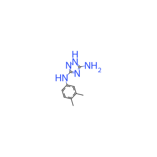 Cc1ccc(Nc2n[nH]c(N)n2)cc1C